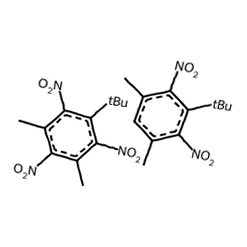 Cc1c([N+](=O)[O-])c(C)c([N+](=O)[O-])c(C(C)(C)C)c1[N+](=O)[O-].Cc1cc(C)c([N+](=O)[O-])c(C(C)(C)C)c1[N+](=O)[O-]